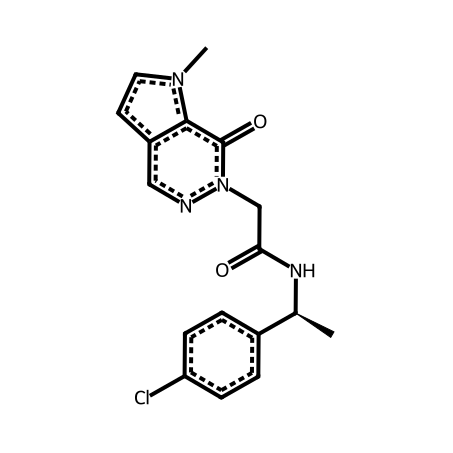 C[C@H](NC(=O)Cn1ncc2ccn(C)c2c1=O)c1ccc(Cl)cc1